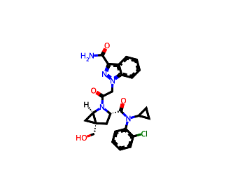 NC(=O)c1nn(CC(=O)N2[C@H](C(=O)N(c3ccccc3Cl)C3CC3)C[C@@]3(CO)C[C@@H]23)c2ccccc12